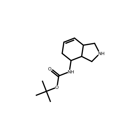 CC(C)(C)OC(=O)NC1CC=CC2CNCC21